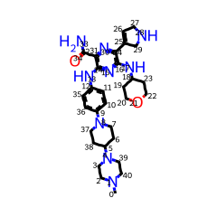 CN1CCN(C2CCN(c3ccc(Nc4nc(NC5CCOCC5)c(C5=CCNC5)nc4C(N)=O)cc3)CC2)CC1